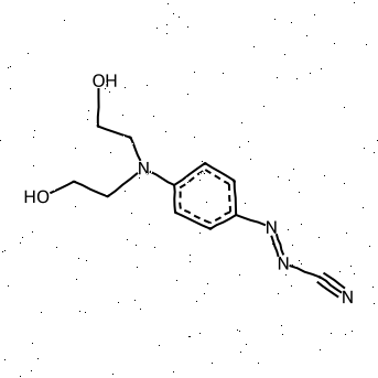 N#CN=Nc1ccc(N(CCO)CCO)cc1